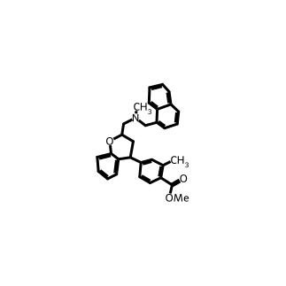 COC(=O)c1ccc(C2CC(CN(C)Cc3cccc4ccccc34)Oc3ccccc32)cc1C